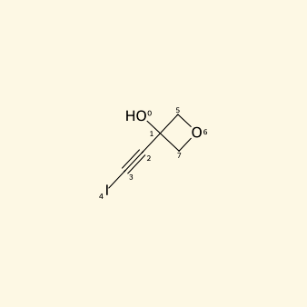 OC1(C#CI)COC1